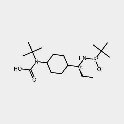 CC[C@H](N[S+]([O-])C(C)(C)C)C1CCC(N(C(=O)O)C(C)(C)C)CC1